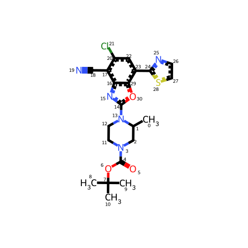 CC1CN(C(=O)OC(C)(C)C)CCN1c1nc2c(C#N)c(Cl)cc(-c3nccs3)c2o1